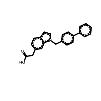 O=C(O)Cc1ccc2ccn(Cc3ccc(-c4ccccc4)cc3)c2c1